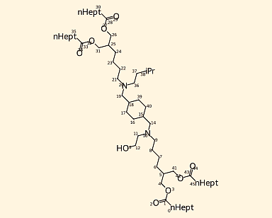 CCCCCCCC(=O)OCC(CCCCN(CCO)CC1CCC(CN(CCCCC(COC(=O)CCCCCCC)COC(=O)CCCCCCC)CCC(C)C)CC1)COC(=O)CCCCCCC